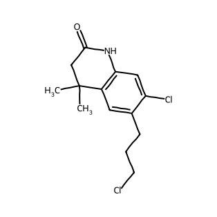 CC1(C)CC(=O)Nc2cc(Cl)c(CCCCl)cc21